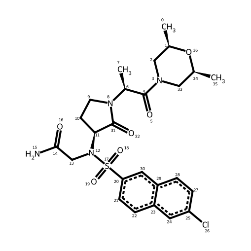 C[C@@H]1CN(C(=O)[C@H](C)N2CC[C@H](N(CC(N)=O)S(=O)(=O)c3ccc4cc(Cl)ccc4c3)C2=O)C[C@H](C)O1